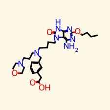 CCCCOc1nc(N)c2c(n1)[nH]c(=O)n2CCCCN(CCCN1CCOCC1)Cc1cccc(CC(=O)O)c1